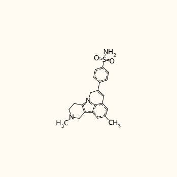 Cc1cc2c3c(c1)c1c(n3CC(c3ccc(S(N)(=O)=O)cc3)=C2)CCN(C)C1